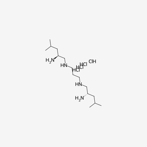 CC(C)C[C@H](N)CNCCCNC[C@@H](N)CC(C)C.Cl.Cl.Cl.Cl